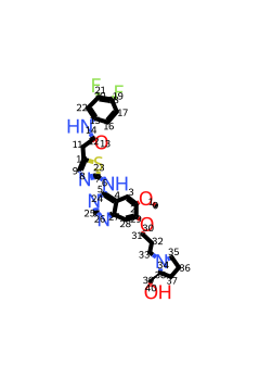 COc1cc2c(Nc3ncc(CC(=O)Nc4ccc(F)c(F)c4)s3)ncnc2cc1OCCCN1CCC[C@H]1CO